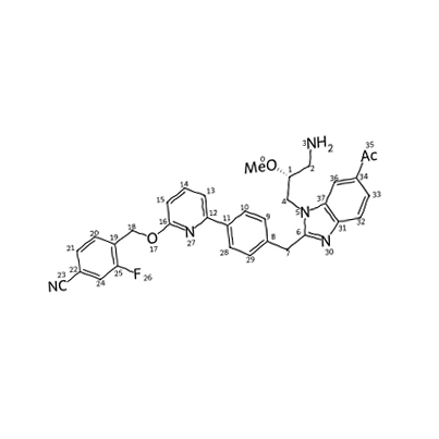 CO[C@H](CN)Cn1c(Cc2ccc(-c3cccc(OCc4ccc(C#N)cc4F)n3)cc2)nc2ccc(C(C)=O)cc21